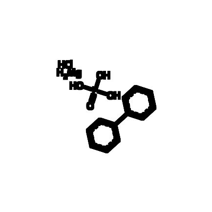 Cl.O=P(O)(O)O.[MgH2].c1ccc(-c2ccccc2)cc1